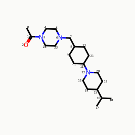 CC(=O)N1CCN(CC2CCC(N3CCC(C(C)C)CC3)CC2)CC1